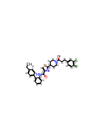 CCc1ccc(-c2ccccc2NC(=O)c2csc(C3CCN(C(=O)CCc4ccc(F)c(F)c4)CC3)n2)cc1